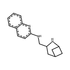 c1ccc2nc(NCC3CC4CC(C4)N3)ccc2c1